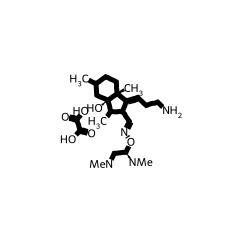 CNC[C@@H](NC)ON=CC1/C(=C\CCN)[C@@]2(C)CCC(C)C[C@]2(O)C1C.O=C(O)C(=O)O